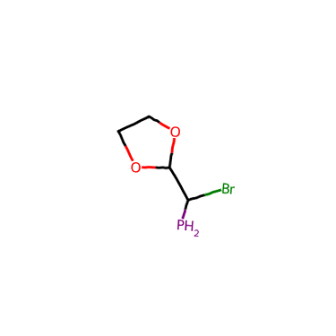 PC(Br)C1OCCO1